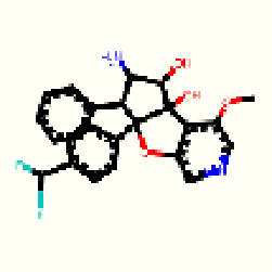 COc1cncc2c1C1(O)C(O)C(N)C(c3ccccc3)C1(c1ccc(C(F)F)cc1)O2